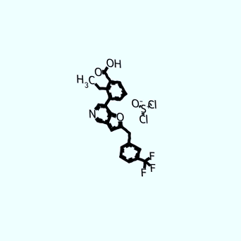 CCc1c(C(=O)O)cccc1-c1cncc2cc(Cc3cccc(C(F)(F)F)c3)oc12.[O-][S+](Cl)Cl